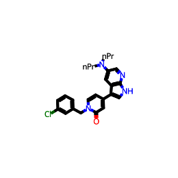 CCCN(CCC)c1cnc2[nH]cc(-c3ccn(Cc4cccc(Cl)c4)c(=O)c3)c2c1